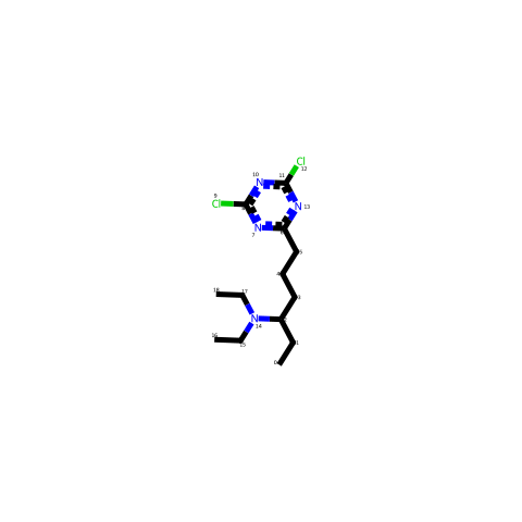 CCC(CCCc1nc(Cl)nc(Cl)n1)N(CC)CC